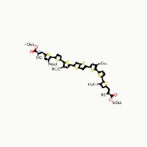 [C-]#[N+]/C(=C\c1cc(CCCCCCCC)c(-c2ccc(-c3sc(-c4cc5sc(-c6cc(CCCCCCCC)c(-c7ccc(-c8sc(/C=C(\C#N)C(=O)OCCCCCCCC)cc8CCCCCCCC)s7)s6)cc5s4)cc3CCCCCCCC)s2)s1)C(=O)OCCCCCCCC